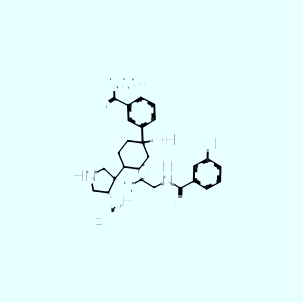 CCO[C@H]1CNC[C@@]1(NC(=O)CNC(=O)c1cccc(C(F)(F)F)c1)C1CCC(O)(c2cccc(C(=O)NC)c2)CC1